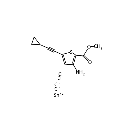 COC(=O)c1sc(C#CC2CC2)cc1N.[Cl-].[Cl-].[Cl-].[Cl-].[Sn+4]